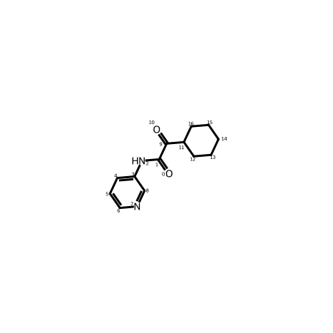 O=C(Nc1cccnc1)C(=O)C1CCCCC1